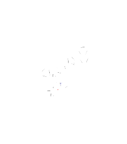 O=C1OCC/C1=C\[C@H](C[C@@H]1CCNC1=O)NC(=O)C(CC(=O)c1ccc(-c2cccc3ccccc23)[nH]1)Cc1ccc(F)cc1